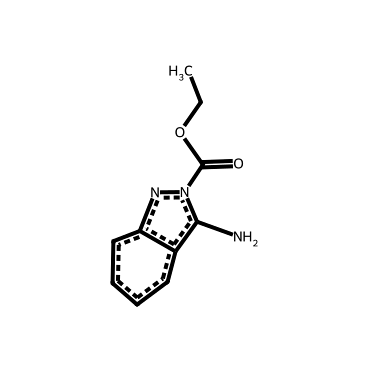 CCOC(=O)n1nc2ccccc2c1N